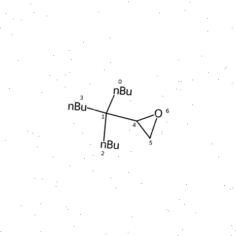 CCCCC(CCCC)(CCCC)C1CO1